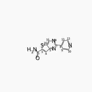 NC(=O)c1cc2nc(-c3ccncc3)ncc2s1